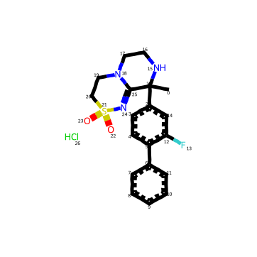 CC1(c2ccc(-c3ccccc3)c(F)c2)NCCN2CCS(=O)(=O)N=C21.Cl